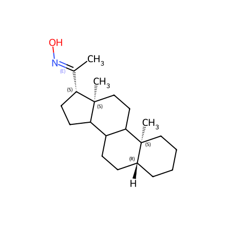 C/C(=N\O)[C@H]1CCC2C3CC[C@H]4CCCC[C@]4(C)C3CC[C@@]21C